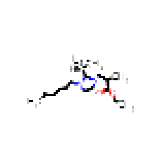 CCCCCCN1CCN(CC(C)C(=O)OCC)C1[SiH](C)C